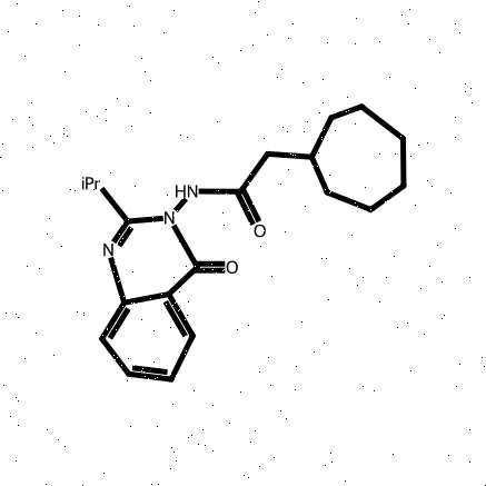 CC(C)c1nc2ccccc2c(=O)n1NC(=O)CC1CCCCCC1